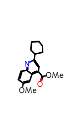 COC(=O)c1cc(C2CCCCC2)nc2ccc(OC)cc12